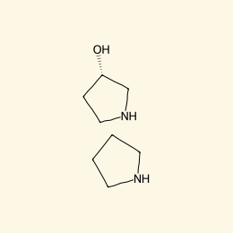 C1CCNC1.O[C@H]1CCNC1